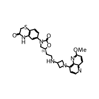 COc1ccc2nccc(N3CC(NCC[C@H]4CN(c5ccc6c(c5)NC(=O)CS6)C(=O)O4)C3)c2n1